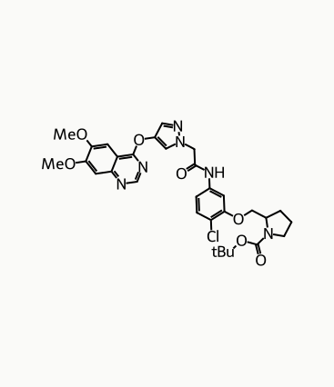 COc1cc2ncnc(Oc3cnn(CC(=O)Nc4ccc(Cl)c(OCC5CCCN5C(=O)OC(C)(C)C)c4)c3)c2cc1OC